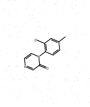 Cc1ccc(-n2ccncc2=O)c(Cl)c1